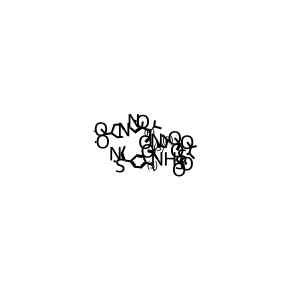 COC(OC)C1CCN(c2cc([C@H](C(=O)N3C[C@H](OC(=O)OC(C)C(C)SS(C)(=O)=O)C[C@H]3C(=O)N[C@@H](C)c3ccc(-c4scnc4C)cc3)C(C)C)on2)CC1